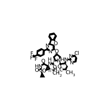 C=C[C@@H]1C[C@]1(NC(=O)[C@@H]1C[C@@H](Oc2nc(-c3ccc(C(F)(F)F)cc3)nc3c2oc2ccccc23)CN1C(=O)[C@H](CC(C)C)Nc1nccc(Cl)n1)C(=O)NS(=O)(=O)C1CC1